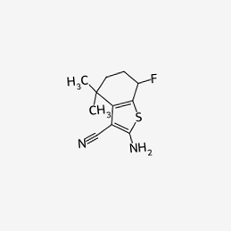 CC1(C)CCC(F)c2sc(N)c(C#N)c21